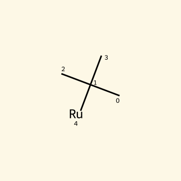 C[C](C)(C)[Ru]